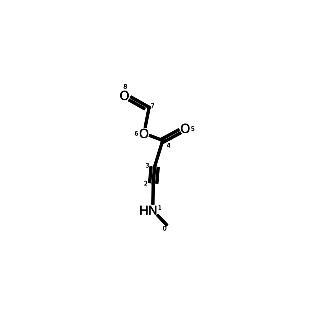 CNC#CC(=O)OC=O